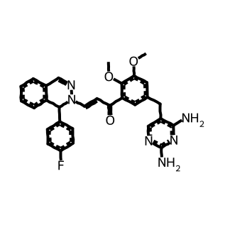 COc1cc(Cc2cnc(N)nc2N)cc(C(=O)/C=C/N2N=Cc3ccccc3C2c2ccc(F)cc2)c1OC